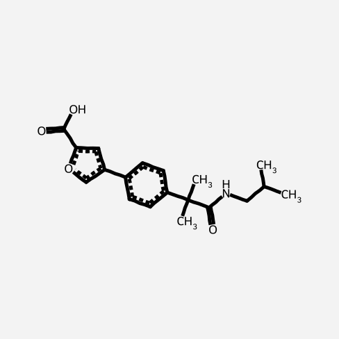 CC(C)CNC(=O)C(C)(C)c1ccc(-c2coc(C(=O)O)c2)cc1